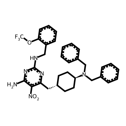 Nc1nc(NCc2ccccc2OC(F)(F)F)nc(C[C@H]2CC[C@H](N(Cc3ccccc3)Cc3ccccc3)CC2)c1[N+](=O)[O-]